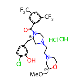 COC[C@@H]1CN(CCN2CCN(C(=O)c3cc(C(F)(F)F)cc(C(F)(F)F)c3)[C@H](Cc3ccc(Cl)c(O)c3)C2)CCO1.Cl.Cl